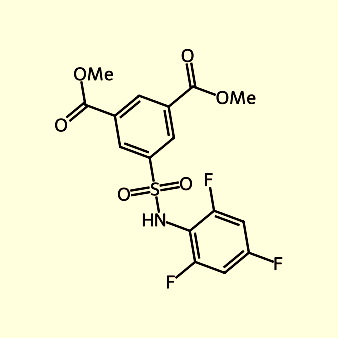 COC(=O)c1cc(C(=O)OC)cc(S(=O)(=O)Nc2c(F)cc(F)cc2F)c1